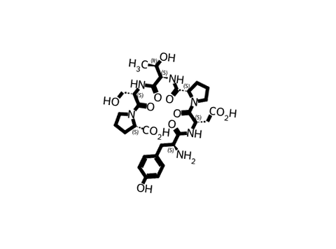 C[C@@H](O)[C@H](NC(=O)[C@@H]1CCCN1C(=O)[C@H](CC(=O)O)NC(=O)[C@@H](N)Cc1ccc(O)cc1)C(=O)N[C@@H](CO)C(=O)N1CCC[C@H]1C(=O)O